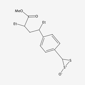 CCC(CC(CC)c1ccc(C2S[S+]2[O-])cc1)C(=O)OC